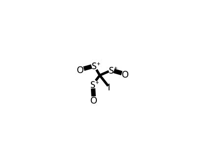 O=[S+]C(I)([S+]=O)[S+]=O